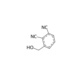 N#Cc1cccc(CO)c1C#N